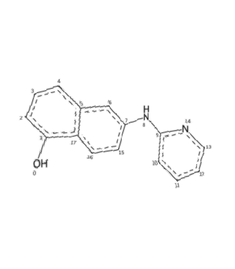 Oc1cccc2cc(Nc3ccccn3)ccc12